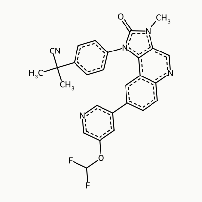 Cn1c(=O)n(-c2ccc(C(C)(C)C#N)cc2)c2c3cc(-c4cncc(OC(F)F)c4)ccc3ncc21